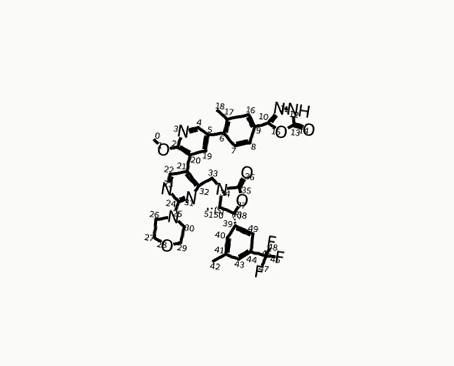 COc1ncc(-c2ccc(-c3n[nH]c(=O)o3)cc2C)cc1-c1cnc(N2CCOCC2)nc1CN1C(=O)O[C@H](c2cc(C)cc(C(F)(F)F)c2)[C@@H]1C